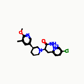 COc1ncc([C@@H]2CCCN(C(Cc3ccc(Cl)cn3)C(N)=O)C2)cc1C